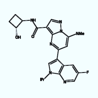 CNc1cc(-c2cn(C(C)C)c3ncc(F)cc23)nc2c(C(=O)NC3CC[C@H]3O)cnn12